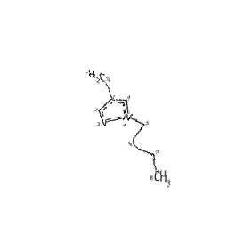 [CH2]c1cnn(CCCC)c1